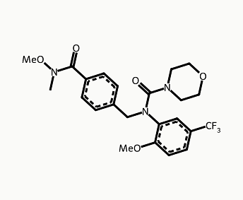 COc1ccc(C(F)(F)F)cc1N(Cc1ccc(C(=O)N(C)OC)cc1)C(=O)N1CCOCC1